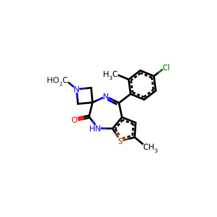 Cc1cc2c(s1)NC(=O)C1(CN(C(=O)O)C1)N=C2c1ccc(Cl)cc1C